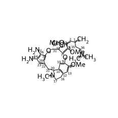 C=C(/C=C(OC)\C(OC)=C1\Oc2cc3c(cc2OC)CCN(C)C3Cc2cc(N)c(N)c(c2)O[C@H](C)C1C)CCN(C)C